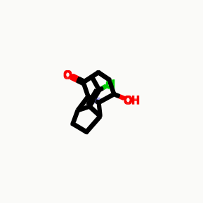 C/C(Cl)=C1\C2CCC1C1C(O)CCC(=O)C21